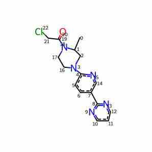 CC1CN(c2ccc(-c3ncccn3)cn2)CCN1C(=O)CCl